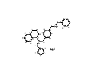 Br.c1ccc(CNCc2ccc(CN(Cc3nccs3)C3CCCc4cccnc43)cc2)nc1